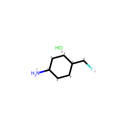 Cl.NC1CCC(CF)CC1